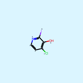 Oc1c(Cl)ccnc1I